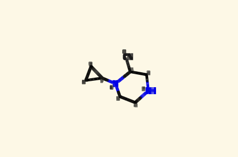 N#CC1CNCCN1C1CC1